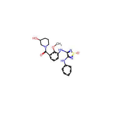 COc1c(Nc2n[s+]([O-])nc2Nc2ccccc2)cccc1C(=O)N1CCCC(O)C1